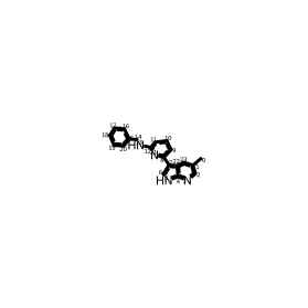 Cc1cnc2[nH]cc(-c3cccc(NCc4ccccc4)n3)c2c1